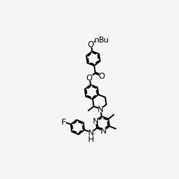 CCCCOc1ccc(C(=O)Oc2ccc3c(c2)CCN(c2nc(Nc4ccc(F)cc4)nc(C)c2C)C3C)cc1